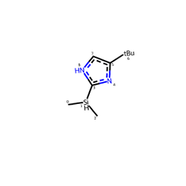 C[SiH](C)c1nc(C(C)(C)C)c[nH]1